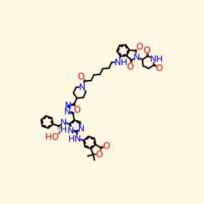 CC1(C)OC(=O)c2ccc(Nc3ncc(-c4nnc(C5CCN(C(=O)CCCCCCNc6cccc7c6C(=O)N(C6CCC(=O)NC6=O)C7=O)CC5)o4)c(N[C@H](CO)c4ccccc4)n3)cc21